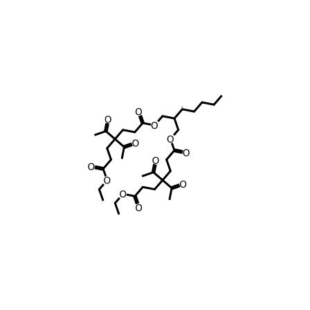 CCCC[CH]C(COC(=O)CCC(CCC(=O)OCC)(C(C)=O)C(C)=O)COC(=O)CCC(CCC(=O)OCC)(C(C)=O)C(C)=O